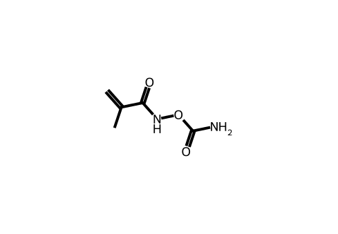 C=C(C)C(=O)NOC(N)=O